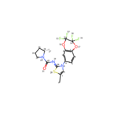 Cc1cn(-c2ccc3c(c2)OC(F)(F)C(F)(F)O3)/c(=N/C(=O)N2CCC[C@@H]2C)s1